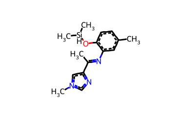 CC(=Nc1cc(C)ccc1O[SiH](C)C)c1cn(C)cn1